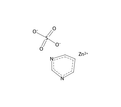 O=S(=O)([O-])[O-].[Zn+2].c1cncnc1